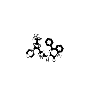 O=C1Nc2ccccc2C(c2ccccc2)=N[C@@H]1Nc1nnc(-c2nc(C(F)(F)C(F)(F)F)sc2N2CCOCC2)o1